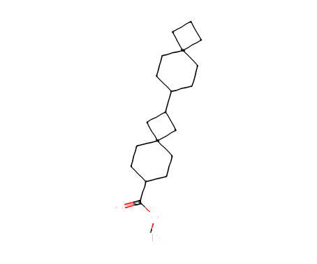 CC(C)(C)OC(=O)C1CCC2(CC1)CC(C1CCC3(CCC3)CC1)C2